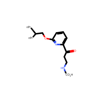 CCCC(CCC)COc1cccc(C(=O)CCNC(=O)O)n1